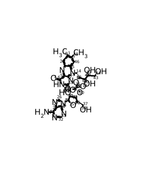 Cc1cc2nc3c(=O)[nH]c(=O)nc-3n(C[C@@H](OP(=O)(O)O[C@H]3[C@@H](O)[C@H](n4cnc5c(N)ncnc54)O[C@@H]3CO)[C@@H](O)[C@@H](O)CO)c2cc1C